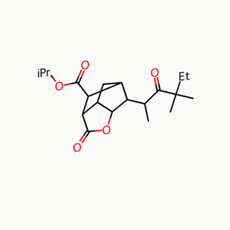 CCC(C)(C)C(=O)C(C)C1C2CC3C1OC(=O)C3C2C(=O)OC(C)C